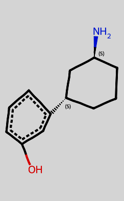 N[C@H]1CCC[C@H](c2cccc(O)c2)C1